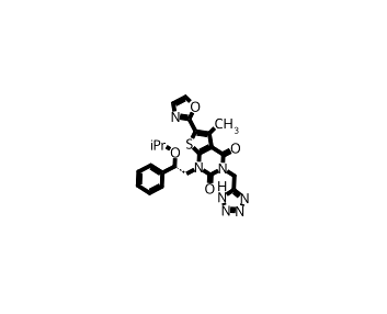 Cc1c(-c2ncco2)sc2c1c(=O)n(Cc1nnn[nH]1)c(=O)n2C[C@@H](OC(C)C)c1ccccc1